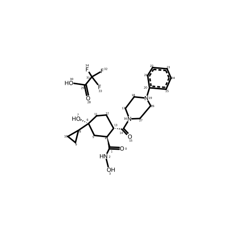 O=C(NO)[C@H]1C[C@@](O)(C2CC2)CC[C@@H]1C(=O)N1CCN(c2ccccc2)CC1.O=C(O)C(F)(F)F